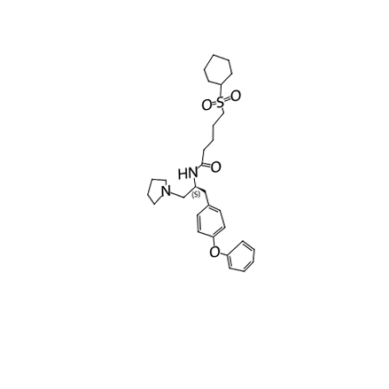 O=C(CCCCS(=O)(=O)C1CCCCC1)N[C@@H](Cc1ccc(Oc2ccccc2)cc1)CN1CCCC1